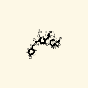 COc1nc(CC(C)(C)N)c(O[C@H]2CCN3C(=O)OC[C@@H]3C2)cc1C(=O)NCc1ccc(Cl)cc1